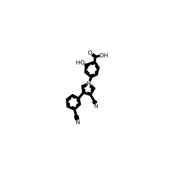 N#Cc1cccc(-c2cn(-c3ccc(C(=O)O)c(O)c3)cc2C#N)c1